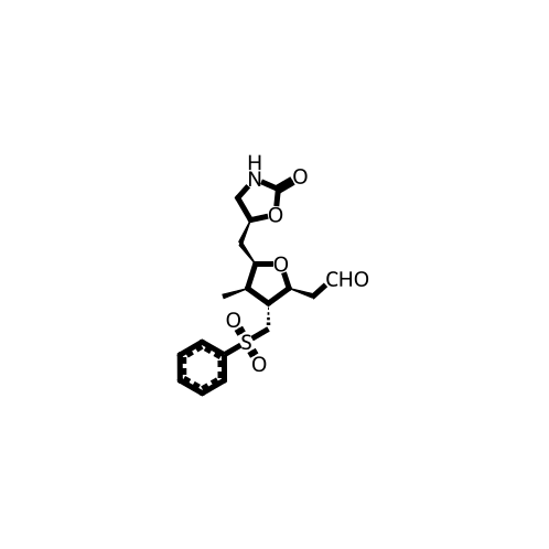 C[C@@H]1[C@@H](CS(=O)(=O)c2ccccc2)[C@H](CC=O)O[C@@H]1C[C@H]1CNC(=O)O1